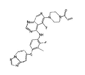 C=CC(=O)N1CCN(c2ncc3ncnc(Nc4ccc(Oc5ccn6ncnc6c5)c(C)c4F)c3c2F)CC1